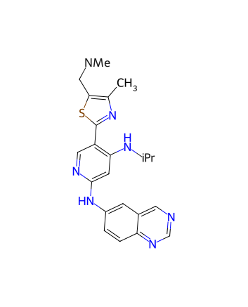 CNCc1sc(-c2cnc(Nc3ccc4ncncc4c3)cc2NC(C)C)nc1C